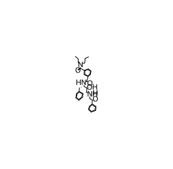 CCCN(CCC)C(=O)c1cccc(C(=O)N[C@@H](Cc2ccccc2)[C@H](O)CNCC(O)c2ccccc2)c1